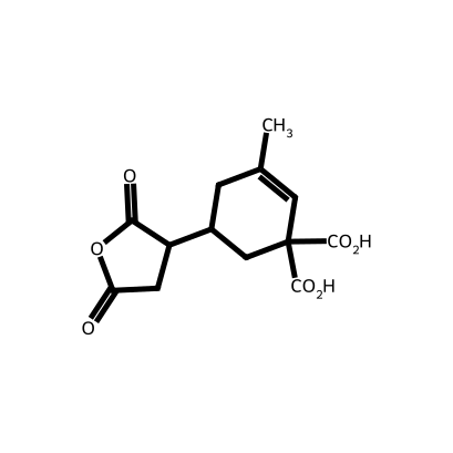 CC1=CC(C(=O)O)(C(=O)O)CC(C2CC(=O)OC2=O)C1